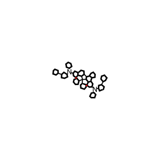 c1ccc(-c2cccc(N(c3ccccc3)c3ccc4c5c(ccc4c3)-c3c(c4ccc(N(c6ccccc6)c6cccc(-c7ccccc7)c6)cc4c4ccccc34)C5(c3ccccc3)c3ccccc3)c2)cc1